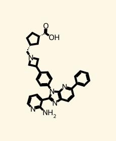 Nc1ncccc1-c1nc2ccc(-c3ccccc3)nc2n1-c1ccc(C2CN(C[C@@H]3CC[C@H](C(=O)O)C3)C2)cc1